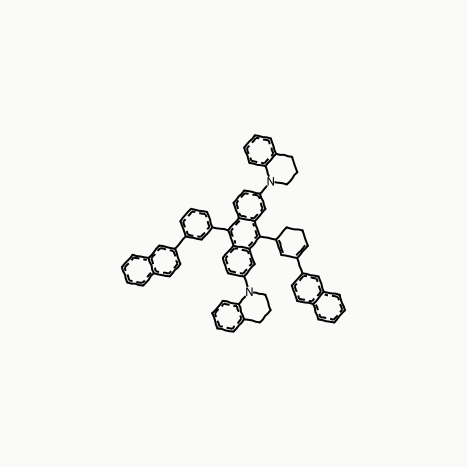 C1=C(c2ccc3ccccc3c2)C=C(c2c3cc(N4CCCc5ccccc54)ccc3c(-c3cccc(-c4ccc5ccccc5c4)c3)c3ccc(N4CCCc5ccccc54)cc23)CC1